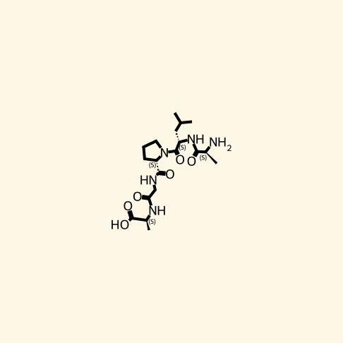 CC(C)C[C@H](NC(=O)[C@H](C)N)C(=O)N1CCC[C@H]1C(=O)NCC(=O)N[C@@H](C)C(=O)O